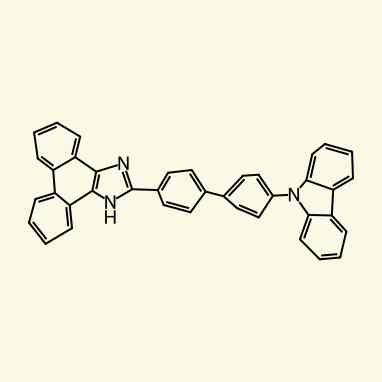 c1ccc2c(c1)c1ccccc1c1[nH]c(-c3ccc(-c4ccc(-n5c6ccccc6c6ccccc65)cc4)cc3)nc21